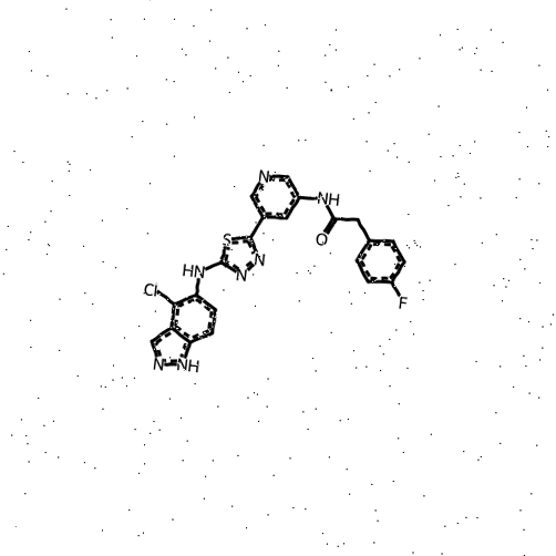 O=C(Cc1ccc(F)cc1)Nc1cncc(-c2nnc(Nc3ccc4[nH]ncc4c3Cl)s2)c1